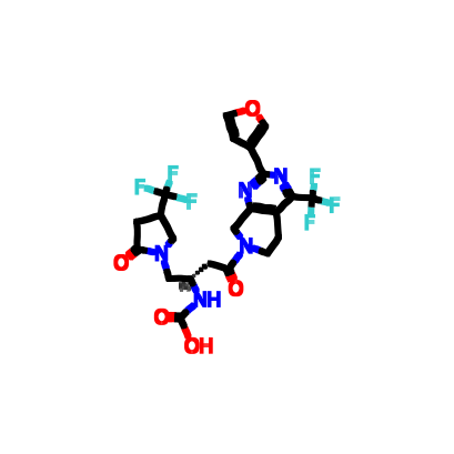 O=C(O)N[C@@H](CC(=O)N1CCc2c(nc(-c3ccoc3)nc2C(F)(F)F)C1)CN1CC(C(F)(F)F)CC1=O